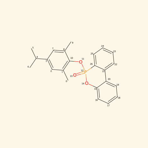 Cc1cc(C(C)C)cc(C)c1OP1(=O)Oc2ccccc2-c2ccccc21